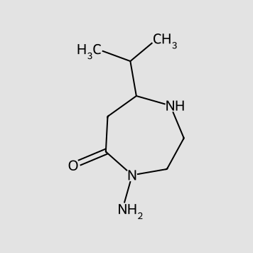 CC(C)C1CC(=O)N(N)CCN1